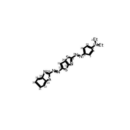 CCN(CC)c1ccc(N=Nc2nc3sc(N=Nc4nc5ccccc5s4)cc3s2)cc1